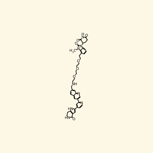 Cn1c(=O)n(C2CCC(=O)NC2=O)c2cccc(CCOCCOCCOCCNCc3ccc4cc(-c5cc(-c6cc7c([nH]6)CCNC7=O)ccn5)cnc4c3)c21